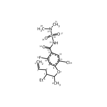 C=CCC(CC)C(C)Oc1cc(F)c(C(=O)NS(=O)(=O)N(C)C)cc1Cl